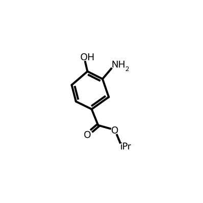 CC(C)OC(=O)c1ccc(O)c(N)c1